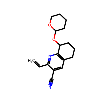 C=Cc1nc2c(cc1C#N)CCCC2OC1CCCCO1